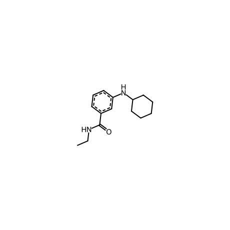 CCNC(=O)c1cccc(NC2CCCCC2)c1